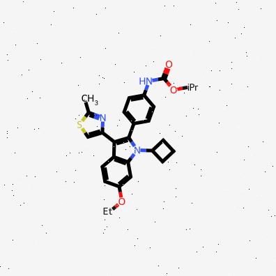 CCOc1ccc2c(-c3csc(C)n3)c(-c3ccc(NC(=O)OC(C)C)cc3)n(C3CCC3)c2c1